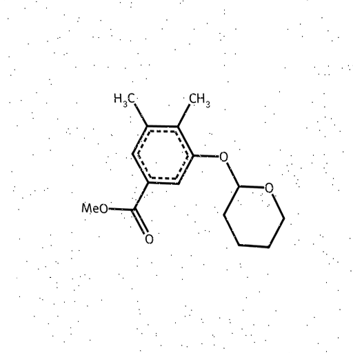 COC(=O)c1cc(C)c(C)c(OC2CCCCO2)c1